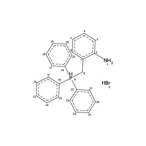 Br.Nc1ccccc1C[PH](c1ccccc1)(c1ccccc1)c1ccccc1